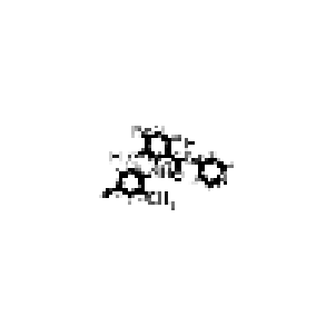 Cc1cc(I)ccc1Nc1c(C(=O)Nc2ccncc2)ccc(F)c1C